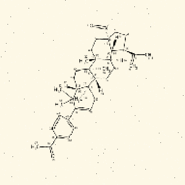 C=C(C)[C@@H]1CC[C@]2(N=O)CC[C@]3(C)[C@H](CC[C@@H]4[C@@]5(C)CC=C(c6ccc(C(C)=O)cc6)C(C)(C)[C@@H]5CC[C@]43C)[C@@H]12